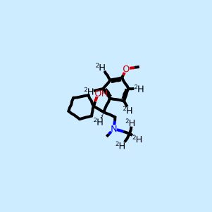 [2H]c1c([2H])c([C@@]([2H])(CN(C)C([2H])([2H])[2H])C2(O)CCCCC2)c([2H])c([2H])c1OC